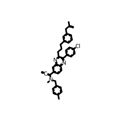 C=C=C(c1ccc2nc(-c3ccc(Cl)cc3)c(CCCc3cccc(CC(=C)C)c3)nc2c1)N(C)Cc1ccc(C)cc1